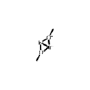 C[O+]1[Ir-]2[O+](C)[Ir-]12